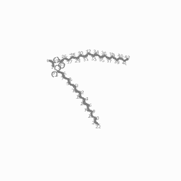 [CH2]C(COC(=O)CCCCCCCCCCCCCCCCC)OC(=O)CCCCCCCCCCCCCCCCC